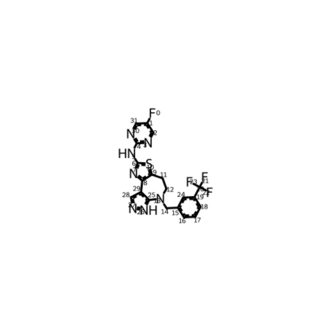 Fc1cnc(Nc2nc3c(s2)CCN(Cc2cccc(C(F)(F)F)c2)c2[nH]ncc2-3)nc1